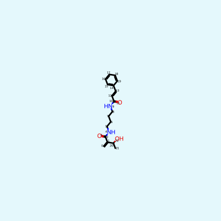 C=C(C(=O)NCCCCNC(=O)C=Cc1ccccc1)C(C)O